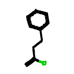 C=C(Cl)CCc1cc[c]cc1